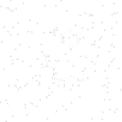 Cc1ccc(S(=O)(=O)NC(CNC(CN)C(C)C)C(C)C)cc1